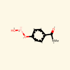 CNC(=O)c1ccc(OBO)cc1